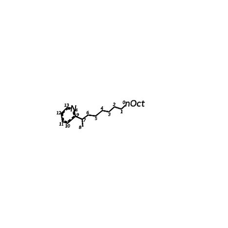 CCCCCCCCCCCCCCC(C)c1ccccn1